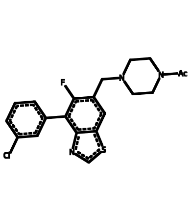 CC(=O)N1CCN(Cc2cc3scnc3c(-c3cccc(Cl)c3)c2F)CC1